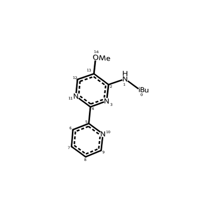 CCC(C)Nc1nc(-c2ccccn2)ncc1OC